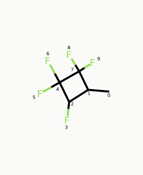 CC1C(F)C(F)(F)C1(F)F